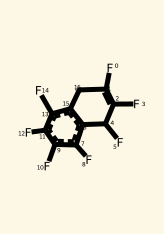 FC1=C(F)C(F)c2c(F)c(F)c(F)c(F)c2[CH]1